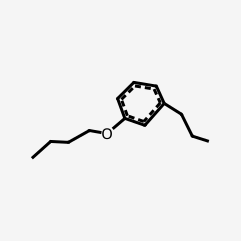 CCCCOc1cccc(CCC)c1